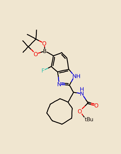 CC(C)(C)OC(=O)NC(c1nc2c(F)c(B3OC(C)(C)C(C)(C)O3)ccc2[nH]1)C1CCCCCCC1